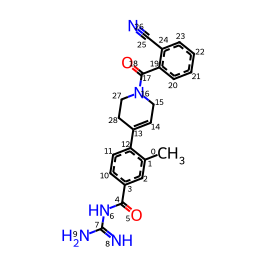 Cc1cc(C(=O)NC(=N)N)ccc1C1=CCN(C(=O)c2ccccc2C#N)CC1